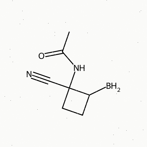 BC1CCC1(C#N)NC(C)=O